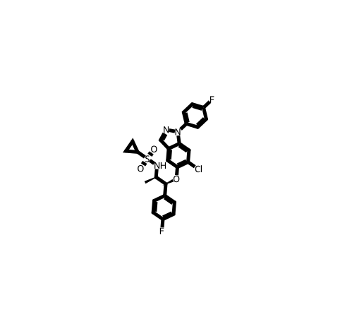 C[C@@H](NS(=O)(=O)C1CC1)[C@@H](Oc1cc2cnn(-c3ccc(F)cc3)c2cc1Cl)c1ccc(F)cc1